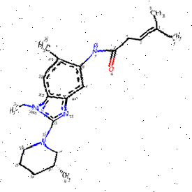 CC(C)=CCC(=O)Nc1cc2nc(N3CCC[C@@H](C)C3)n(C)c2cc1C